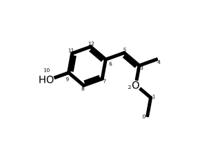 CCOC(C)=Cc1ccc(O)cc1